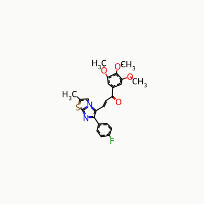 COc1cc(C(=O)/C=C/c2c(-c3ccc(F)cc3)nc3sc(C)cn23)cc(OC)c1OC